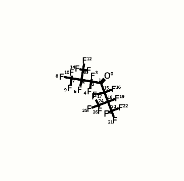 O=C(C(F)(F)C(F)(C(F)(F)F)C(F)(F)F)C(F)(F)C(F)(C(F)(F)F)C(F)(F)F